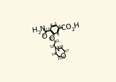 NC(=O)c1ccc(C(=O)O)cc1OCCN1CCOCC1